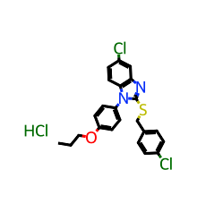 CCCOc1ccc(-n2c(SCc3ccc(Cl)cc3)nc3cc(Cl)ccc32)cc1.Cl